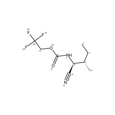 CC[C@H](C)[C@@H](C#N)NC(=O)OCC(F)(F)F